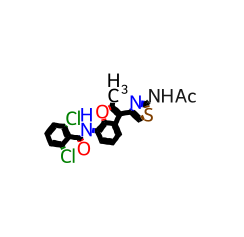 CC(=O)Nc1nc(-c2c(C)oc3c(NC(=O)c4c(Cl)cccc4Cl)cccc23)cs1